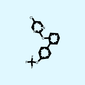 FC(F)(F)Oc1ccc(-c2ccccc2Oc2ncc(Cl)cn2)cc1